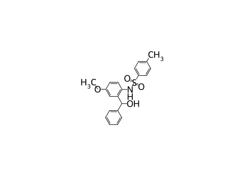 COc1ccc(NS(=O)(=O)c2ccc(C)cc2)c(C(O)c2ccccc2)c1